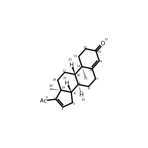 CC(=O)C1=CC[C@H]2[C@@H]3CCC4=CC(=O)CC[C@]4(C)[C@H]3CC[C@]12C